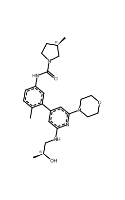 Cc1ccc(NC(=O)N2CC[C@@H](C)C2)cc1-c1cc(NC[C@H](C)O)nc(N2CCOCC2)c1